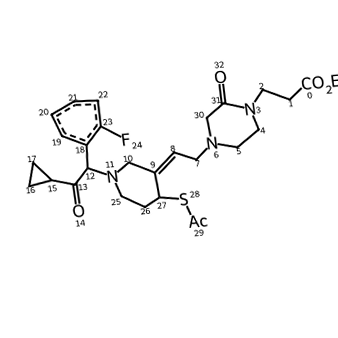 CCOC(=O)CCN1CCN(C/C=C2/CN(C(C(=O)C3CC3)c3ccccc3F)CCC2SC(C)=O)CC1=O